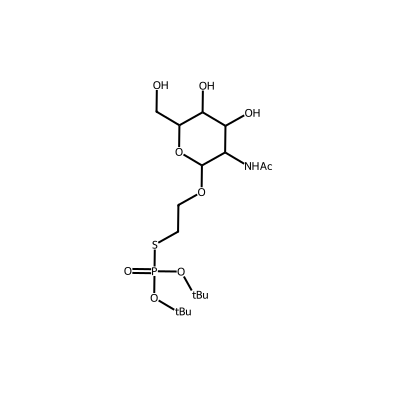 CC(=O)NC1C(OCCSP(=O)(OC(C)(C)C)OC(C)(C)C)OC(CO)C(O)C1O